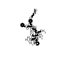 CCCO[C@H](C[C@H](C(C)C)N(CCC)C(=O)[C@@H](NC(=O)[C@H]1CCCCN1C)[C@@H](C)CC)c1nc(C(=O)N[C@@H](CCc2ccc(OCCCCN=[N+]=[N-])cc2)C[C@H](C)C(=O)OCc2ccccc2)cs1